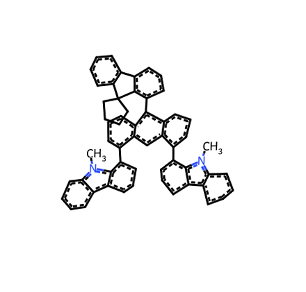 Cn1c2ccccc2c2cccc(-c3cccc4c(-c5cccc6c5C5(CCCC5)c5ccccc5-6)c5cccc(-c6cccc7c8ccccc8n(C)c67)c5cc34)c21